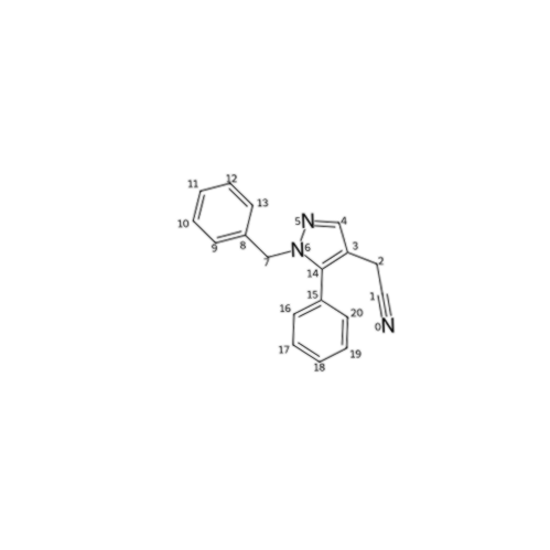 N#CCc1cnn(Cc2ccccc2)c1-c1ccccc1